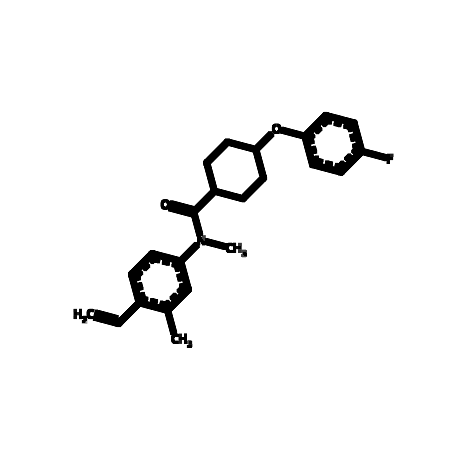 C=Cc1ccc(N(C)C(=O)C2CCC(Oc3ccc(F)cc3)CC2)cc1C